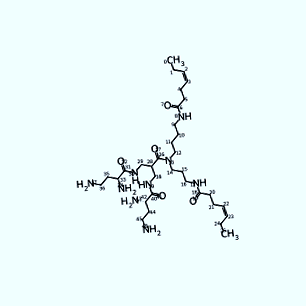 CC/C=C\CCC(=O)NCCCCN(CCCNC(=O)CC/C=C\CC)C(=O)C(CNC(=O)[C@@H](N)CCN)CNC(=O)[C@@H](N)CCN